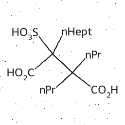 CCCCCCCC(C(=O)O)(C(CCC)(CCC)C(=O)O)S(=O)(=O)O